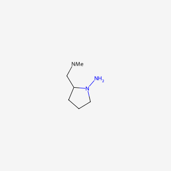 CNCC1CCCN1N